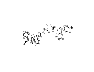 CCC1(c2ccccc2OCCCCN2CCN(CCCC(c3ccc(F)cc3)c3ccc(F)cc3)CC2)Cc2ccccc2N(C)C1=O